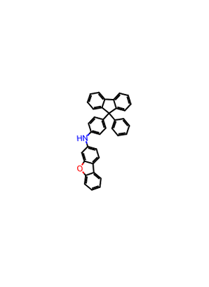 c1ccc(C2(c3ccc(Nc4ccc5c(c4)oc4ccccc45)cc3)c3ccccc3-c3ccccc32)cc1